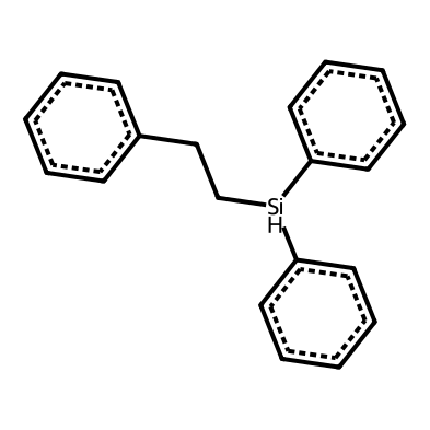 c1ccc(CC[SiH](c2ccccc2)c2ccccc2)cc1